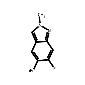 CC(C)c1cc2cn(C)nc2cc1F